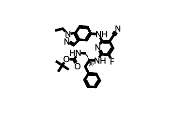 CCn1ncc2cc(Nc3nc(N[C@@H](CNC(=O)OC(C)(C)C)Cc4ccccc4)c(F)cc3C#N)ccc21